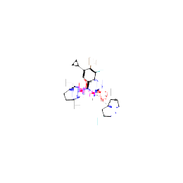 CC(C)(C)OC(=O)N1[C@@H]2CC[C@H]1CN(c1nc(OC[C@@]34CCCN3C[C@H](F)C4)nc3c(F)c(Br)c(C4CC4)cc13)C2